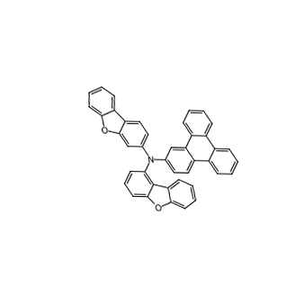 c1ccc2c(c1)oc1cc(N(c3ccc4c5ccccc5c5ccccc5c4c3)c3cccc4oc5ccccc5c34)ccc12